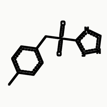 Cc1ccc(CS(=O)(=O)c2ncns2)cc1